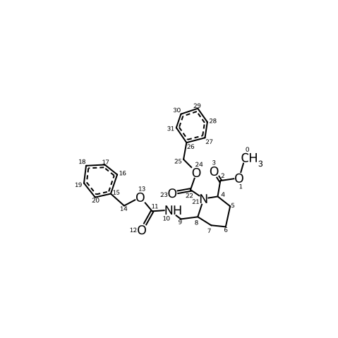 COC(=O)C1CCCC(CNC(=O)OCc2ccccc2)N1C(=O)OCc1ccccc1